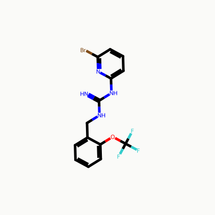 N=C(NCc1ccccc1OC(F)(F)F)Nc1cccc(Br)n1